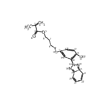 C=C(C)C(=O)OCCCCOc1ccc(O)c(-n2nc3ccccc3n2)c1